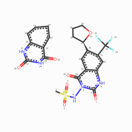 CS(=O)(=O)Nn1c(=O)[nH]c2cc(C(F)(F)F)c([C@H]3CCCO3)cc2c1=O.O=c1[nH]c(=O)c2ccccc2[nH]1